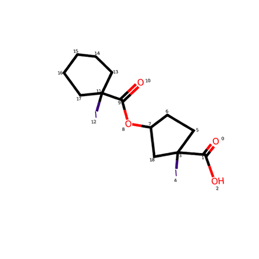 O=C(O)C1(I)CCC(OC(=O)C2(I)CCCCC2)C1